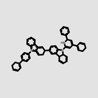 C1=CCCC(c2ccc(-n3c4c(c5ccccc53)=CC(c3ccc5c(c3)C3C=CC=CC3N5C3=CC(C5=CCCC=C5)=CC(c5ccccc5)N3)CC=4)cc2)=C1